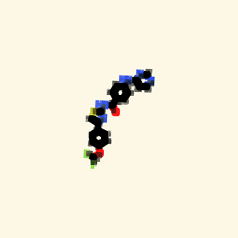 O=C(Nc1nc(-c2ccc(OC(F)F)cc2)cs1)c1ccc(Nc2ccncn2)cc1